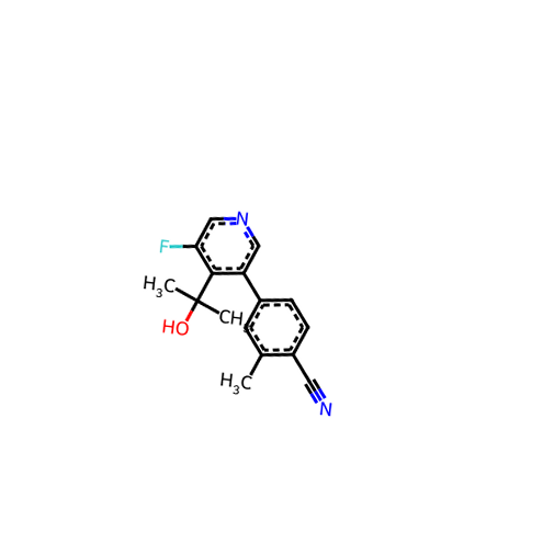 Cc1cc(-c2cncc(F)c2C(C)(C)O)ccc1C#N